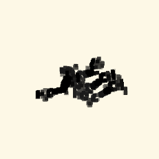 C=CC.CC(=O)O.CC(=O)O.CC(=O)O